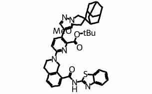 COCCC1(Cn2cc(-c3ccc(N4CCc5cccc(C(=O)Nc6nc7ccccc7s6)c5C4)nc3C(=O)OC(C)(C)C)cn2)C2CC3CC(C2)CC1C3